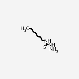 CCCCCCCNC(=S)NN